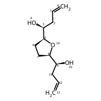 C=CC[C@H](O)[C@@H]1CC[C@H]([C@@H](O)CC=C)O1